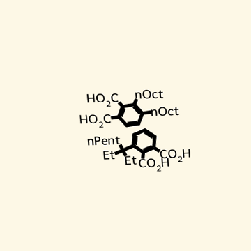 CCCCCC(CC)(CC)c1cccc(C(=O)O)c1C(=O)O.CCCCCCCCc1ccc(C(=O)O)c(C(=O)O)c1CCCCCCCC